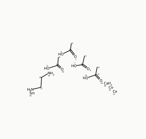 CC(=O)O.CC(=O)O.CC(=O)O.CC(=O)O.NCCN.[CaH2].[Ce].[Co].[Sm]